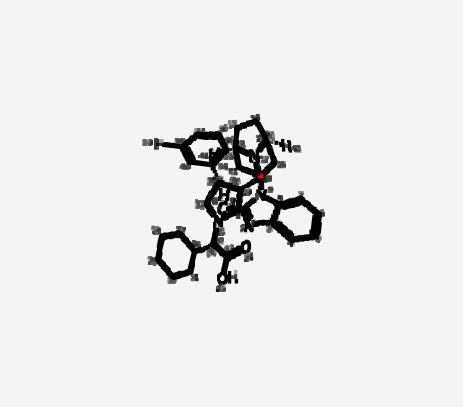 Cc1nc2ccccc2n1[C@H]1C[C@H]2CC[C@@H](C1)N2C[C@H]1CN([C@@H](C(=O)O)C2CCCCC2)C[C@@H]1c1cccc(F)c1